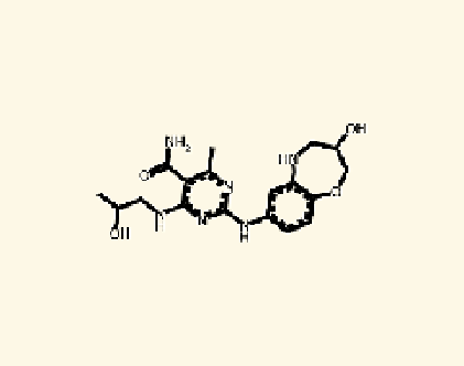 Cc1nc(Nc2ccc3c(c2)NCC(O)CO3)nc(NCC(C)O)c1C(N)=O